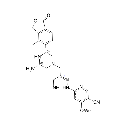 COc1cc(N/N=C(\C=N)CN2C[C@@H](c3ccc4c(c3C)COC4=O)N[C@@H](N)C2)ncc1C#N